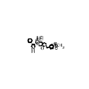 CC(C)C([C@@H]1CNC[C@@H]1c1ccccc1)N1CCC2(CCN(Cc3ccc(S(C)(=O)=O)cc3)C2=O)CC1.Cl.Cl